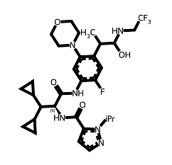 CC(c1cc(F)c(NC(=O)[C@@H](NC(=O)c2ccnn2C(C)C)C(C2CC2)C2CC2)cc1N1CCOCC1)C(O)NCC(F)(F)F